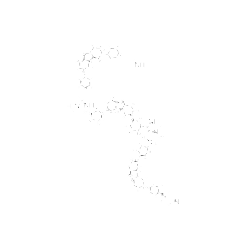 NCCCc1ccc(-c2ccc3sc4ccc(-c5ccc(CCC(N)NCc6cccc(-c7ccc8sc9ccc(-c%10cccc(C(N)C%11CN(c%12ccc(-c%13ccc%14sc%15ccc(-c%16ccc(N%17CCNCC%17)cc%16)cc%15c%14c%13)cc%12)CCN%11)c%10)cc9c8c7)c6)cc5)cc4c3c2)cc1